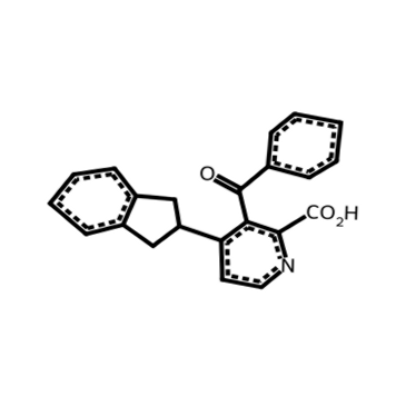 O=C(O)c1nccc(C2Cc3ccccc3C2)c1C(=O)c1ccccc1